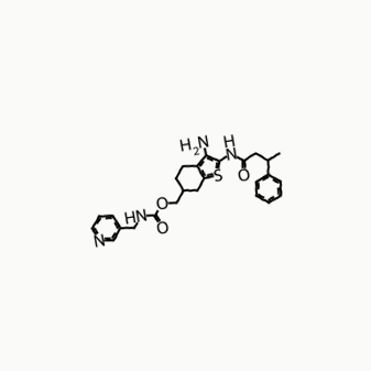 CC(CC(=O)Nc1sc2c(c1N)CCC(COC(=O)NCc1cccnc1)C2)c1ccccc1